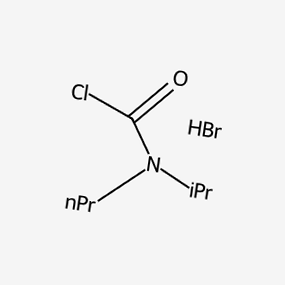 Br.CCCN(C(=O)Cl)C(C)C